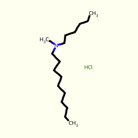 CCCCCCCCCCN(C)CCCCCC.Cl